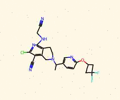 CC(c1ccc(OC2CC(F)(F)C2)nc1)N1CCc2c(NCC#N)nc(Cl)c(C#N)c2C1